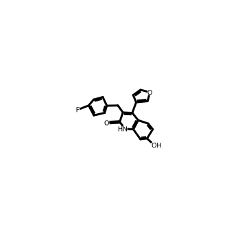 O=c1[nH]c2cc(O)ccc2c(-c2ccoc2)c1Cc1ccc(F)cc1